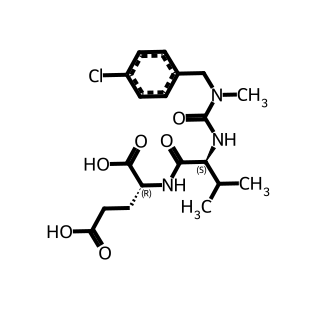 CC(C)[C@H](NC(=O)N(C)Cc1ccc(Cl)cc1)C(=O)N[C@H](CCC(=O)O)C(=O)O